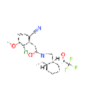 COc1ccc(C#N)c(CC(=O)N2CC[C@@H]3[C@H](CCC[C@H]3C(=O)C(F)(F)F)[C@@H]2C)c1Cl